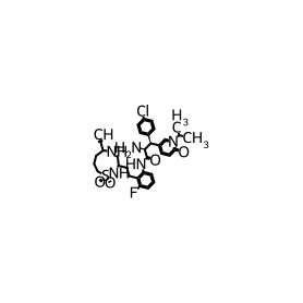 C#CC1CCCS(=O)(=O)NC(CCc2c(F)cccc2NC(=O)[C@@H](N)[C@@H](c2ccc(Cl)cc2)c2ccc(=O)n(C(C)C)c2)CN1